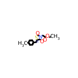 CCOC(=O)CN1C(=O)S/C(=C\c2ccc(C)cc2)C1=O